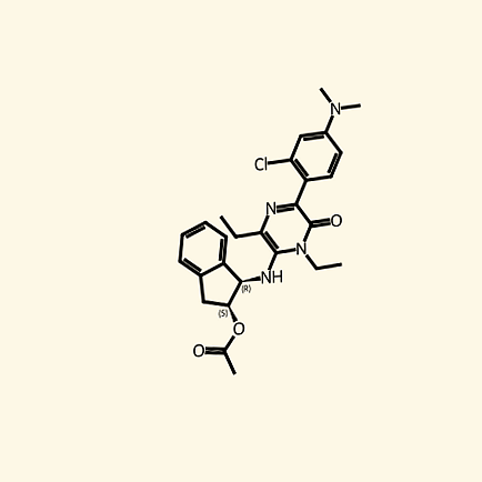 CCc1nc(-c2ccc(N(C)C)cc2Cl)c(=O)n(CC)c1N[C@@H]1c2ccccc2C[C@@H]1OC(C)=O